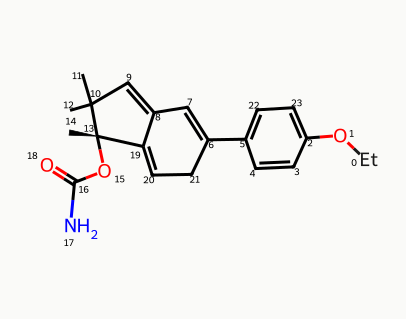 CCOc1ccc(C2=CC3=CC(C)(C)[C@@](C)(OC(N)=O)C3=CC2)cc1